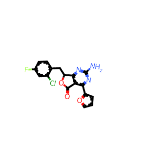 Nc1nc(-c2ccco2)c2c(n1)C(Cc1ccc(F)cc1Cl)OC2=O